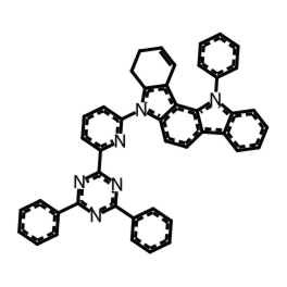 C1=Cc2c(n(-c3cccc(-c4nc(-c5ccccc5)nc(-c5ccccc5)n4)n3)c3ccc4c5ccccc5n(-c5ccccc5)c4c23)CC1